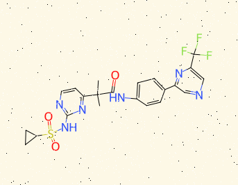 CC(C)(C(=O)Nc1ccc(-c2cncc(C(F)(F)F)n2)cc1)c1ccnc(NS(=O)(=O)C2CC2)n1